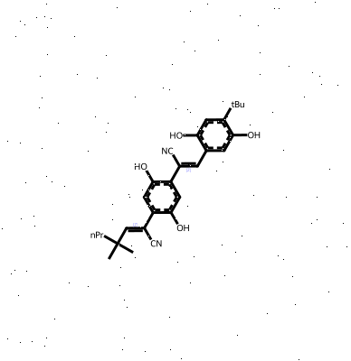 CCCC(C)(C)/C=C(\C#N)c1cc(O)c(/C(C#N)=C/c2cc(O)c(C(C)(C)C)cc2O)cc1O